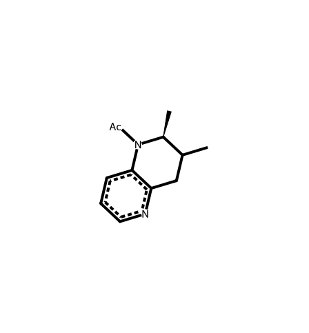 CC(=O)N1c2cccnc2CC(C)[C@@H]1C